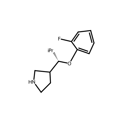 CC(C)[C@H](Oc1ccccc1F)C1CCNC1